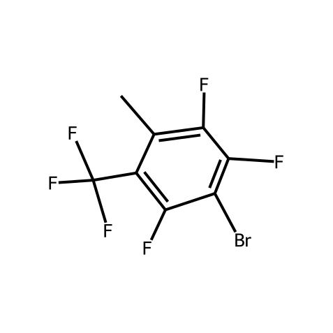 Cc1c(F)c(F)c(Br)c(F)c1C(F)(F)F